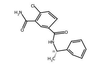 C[C@H](NC(=O)c1ccc(Cl)c(C(N)=O)c1)c1ccccc1